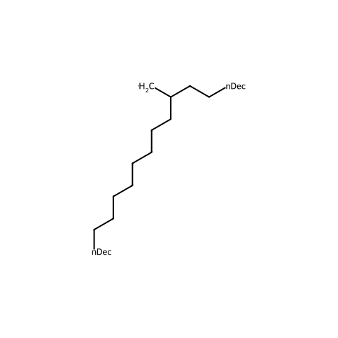 [CH2]C(CCCCCCCCCCCC)CCCCCCCCCCCCCCCCCC